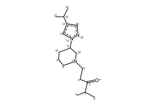 CC(C)C(=O)CCN1CCCC(n2cc(C(C)C)cn2)C1